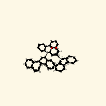 c1ccc(-c2ccccc2N(c2cccc(-n3c4ccccc4c4ccccc43)c2)c2cc3c4ccccc4ccc3c3ccccc23)cc1